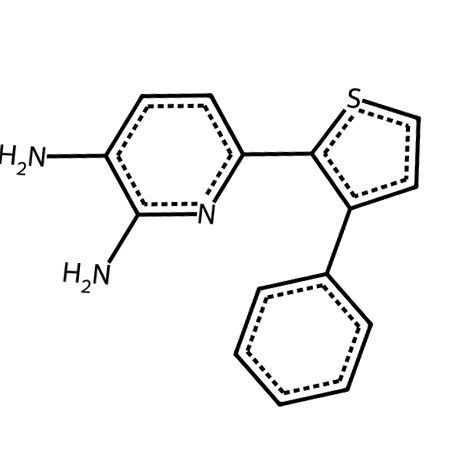 Nc1ccc(-c2sccc2-c2ccccc2)nc1N